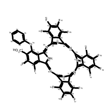 O=C(O)c1c(F)c(F)c2c3nc4nc(nc5c6c(F)c(F)c(F)c(F)c6c(nc6nc(nc([nH]3)c2c1Oc1ccccc1)-c1c(F)c(F)c(F)c(F)c1-6)n5F)-c1c(F)c(F)c(F)c(F)c1-4